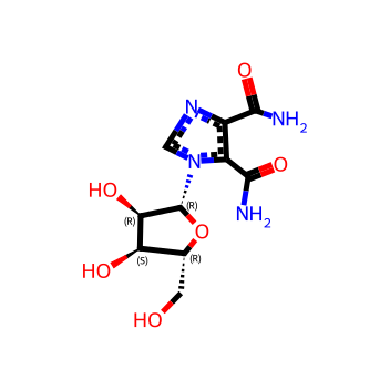 NC(=O)c1ncn([C@@H]2O[C@H](CO)[C@@H](O)[C@H]2O)c1C(N)=O